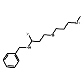 CNCCCNCCC(Br)NCc1ccccc1